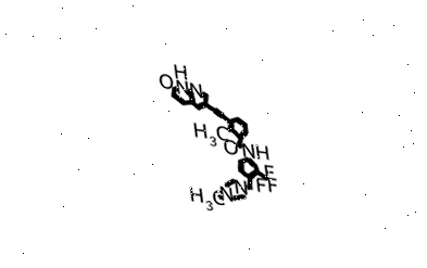 Cc1c(C#Cc2cnc3[nH]c(=O)ccc3c2)cccc1C(=O)Nc1ccc(CN2CCN(C)CC2)c(C(F)(F)F)c1